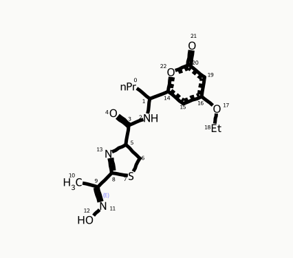 CCCC(NC(=O)C1CSC(/C(C)=N/O)=N1)c1cc(OCC)cc(=O)o1